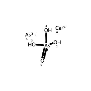 O=[As](O)(O)O.[As+3].[Ca+2]